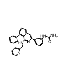 NC(=O)Nc1cccc(-c2cc3cccc(-c4ccccc4)c3c(NCc3ccccn3)n2)c1